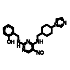 O=Nc1cnc(NCc2ccccc2O)nc1NCC1CCC(n2ccnc2)CC1